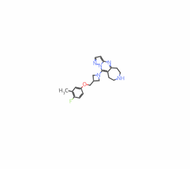 Cc1cc(OCC2CN(c3c4c(nc5ccnn35)CCNCC4)C2)ccc1F